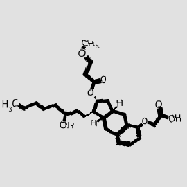 CCCCC[C@H](O)CC[C@@H]1[C@H]2Cc3cccc(OCC(=O)O)c3C[C@H]2C[C@H]1OC(=O)CCOC